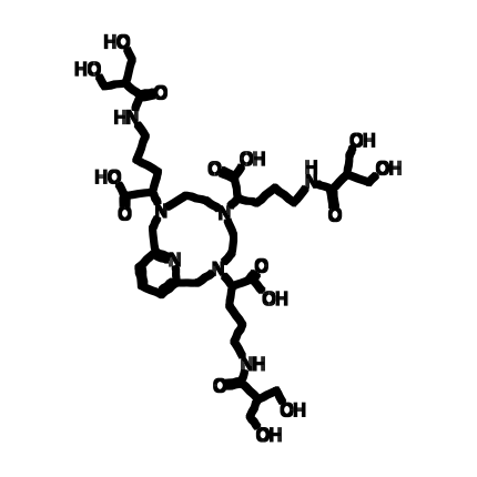 O=C(NCCCC(C(=O)O)N1CCN(C(CCCNC(=O)C(CO)CO)C(=O)O)Cc2cccc(n2)CN(C(CCCNC(=O)C(CO)CO)C(=O)O)CC1)C(CO)CO